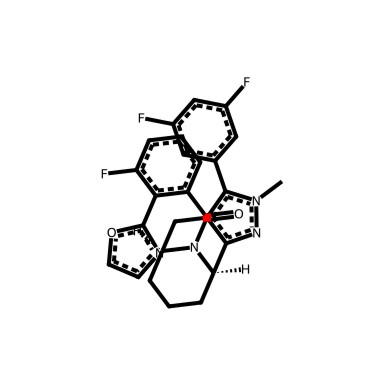 Cn1nc2c(c1-c1cc(F)cc(F)c1)C[C@@H]1CCC[C@H]2N1C(=O)c1cccc(F)c1-c1ncco1